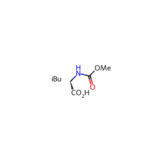 CC[C@H](C)[C@@H](NC(=O)OC)C(=O)O